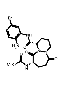 COC(=O)N[C@H]1CCC(=O)N2CCC[C@@H](C(=O)Nc3cc(Br)ccc3N)N2C1=O